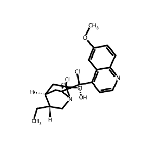 CC[C@H]1CN2C(Cl)(Cl)C[C@H]1C[C@@]2(Cl)[C@@](O)(Cl)c1ccnc2ccc(OC)cc12